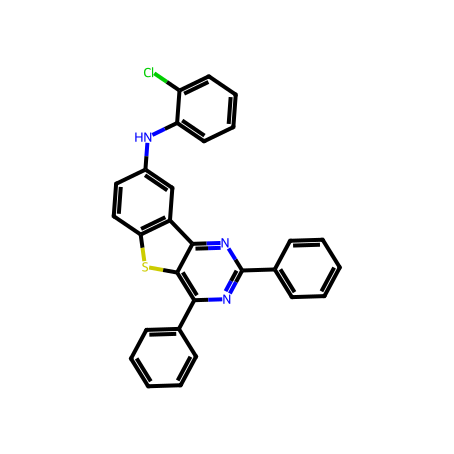 Clc1ccccc1Nc1ccc2sc3c(-c4ccccc4)nc(-c4ccccc4)nc3c2c1